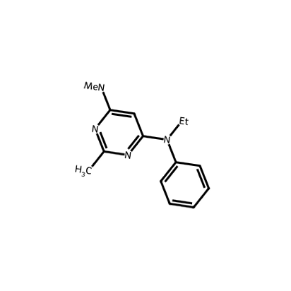 CCN(c1ccccc1)c1cc(NC)nc(C)n1